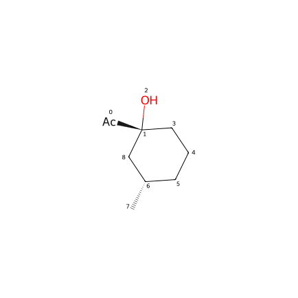 CC(=O)[C@@]1(O)CCC[C@H](C)C1